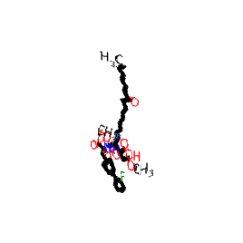 CCCCCCCC(=O)CCCCCC/C=C/[C@H](C(=O)N[C@@H](Cc1ccc(-c2ccccc2F)cc1)C(=O)OC)[C@@](O)(CCOC)C(=O)O